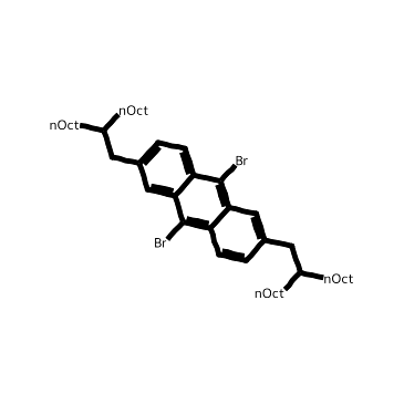 CCCCCCCCC(CCCCCCCC)Cc1ccc2c(Br)c3cc(CC(CCCCCCCC)CCCCCCCC)ccc3c(Br)c2c1